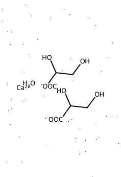 O.O=C([O-])C(O)CO.O=C([O-])C(O)CO.[Ca+2]